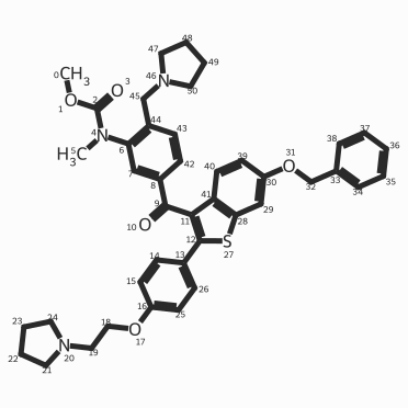 COC(=O)N(C)c1cc(C(=O)c2c(-c3ccc(OCCN4CCCC4)cc3)sc3cc(OCc4ccccc4)ccc23)ccc1CN1CCCC1